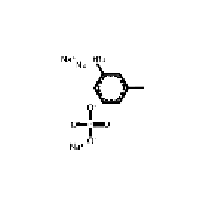 Cc1cccc(C(C)(C)C)c1.O=P([O-])([O-])[O-].[Na+].[Na+].[Na+]